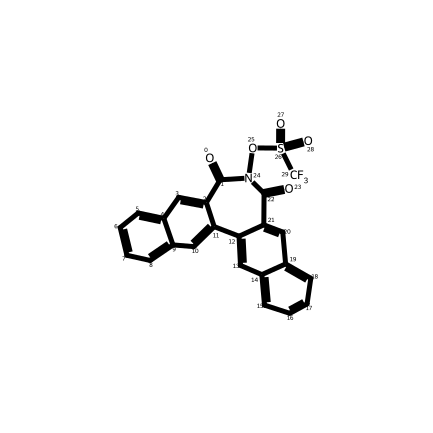 O=c1c2cc3ccccc3cc2c2cc3ccccc3cc2c(=O)n1OS(=O)(=O)C(F)(F)F